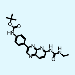 CCNC(=O)Nc1ccc2ncc(-c3ccc(NC(=O)OC(C)(C)C)cc3)nc2n1